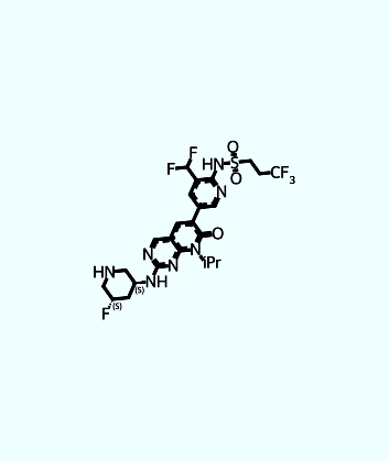 CC(C)n1c(=O)c(-c2cnc(NS(=O)(=O)CCC(F)(F)F)c(C(F)F)c2)cc2cnc(N[C@@H]3CNC[C@@H](F)C3)nc21